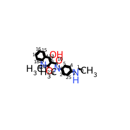 CCNc1ccc(N(C)C(=O)c2c(O)c3ccccc3n(C)c2=O)cc1